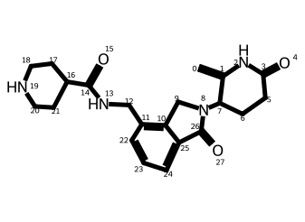 C=C1NC(=O)CCC1N1Cc2c(CNC(=O)C3CCNCC3)cccc2C1=O